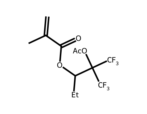 C=C(C)C(=O)OC(CC)C(OC(C)=O)(C(F)(F)F)C(F)(F)F